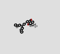 CC1(C)c2ccccc2C2(c3ccccc3-c3ccc(-c4ccc(N(c5ccc6c(c5)oc5ccccc56)c5ccc6c(c5)sc5ccccc56)cc4)cc32)c2ccccc21